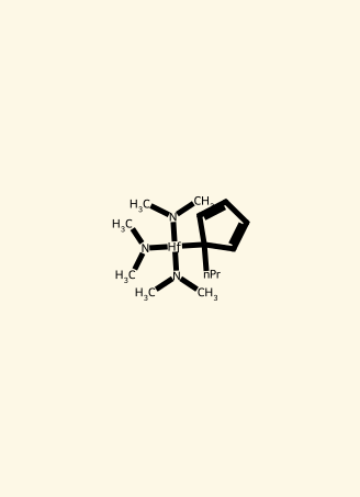 CCC[C]1([Hf]([N](C)C)([N](C)C)[N](C)C)C=CC=C1